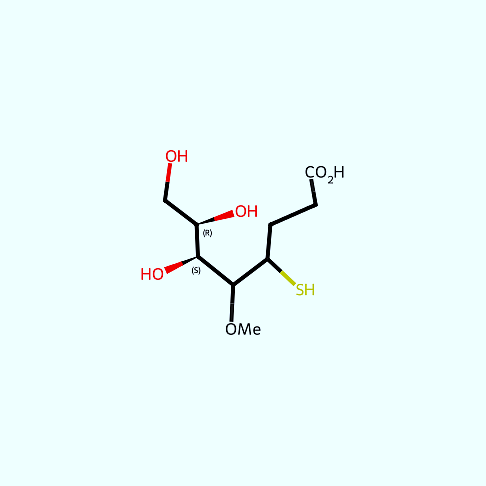 COC(C(S)CCC(=O)O)[C@@H](O)[C@H](O)CO